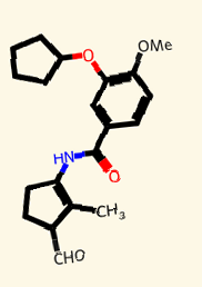 COc1ccc(C(=O)NC2=C(C)C(C=O)CC2)cc1OC1CCCC1